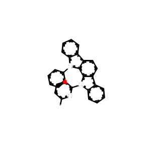 Cc1cccc(-n2c3ccccc3c3ccc4c5ccccc5n(-c5ccccc5)c4c32)n1